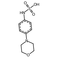 O=S(=O)(O)Nc1ccc(N2CCOCC2)cc1